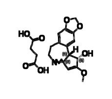 COC1=C[C@]23CCCN2CCc2cc4c(cc2[C@@H]3[C@@H]1O)OCO4.O=C(O)CCC(=O)O